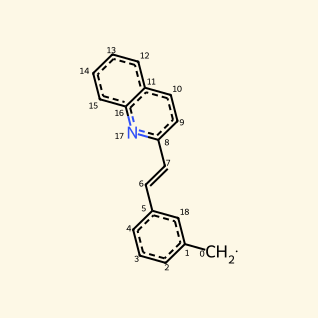 [CH2]c1cccc(C=Cc2ccc3ccccc3n2)c1